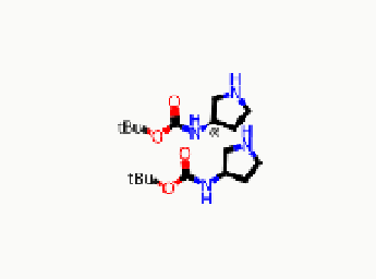 CC(C)(C)OC(=O)NC1CCNC1.CC(C)(C)OC(=O)N[C@@H]1CCNC1